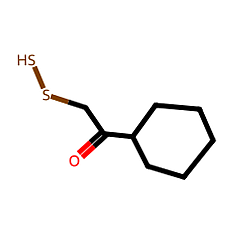 O=C(CSS)C1CCCCC1